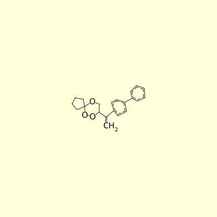 C=C(c1ccc(-c2ccccc2)cc1)C1COC2(CCCC2)OO1